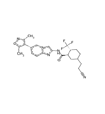 Cc1noc(C)c1-c1ccc2nc(NC(=O)[C@@H]3CC(CCC#N)CC[C@H]3C(F)(F)F)cn2c1